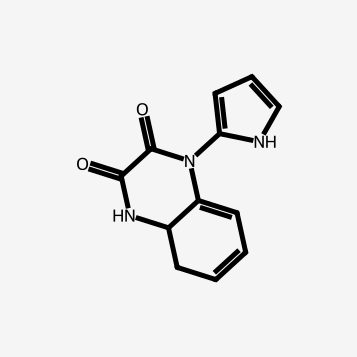 O=C1NC2CC=CC=C2N(c2ccc[nH]2)C1=O